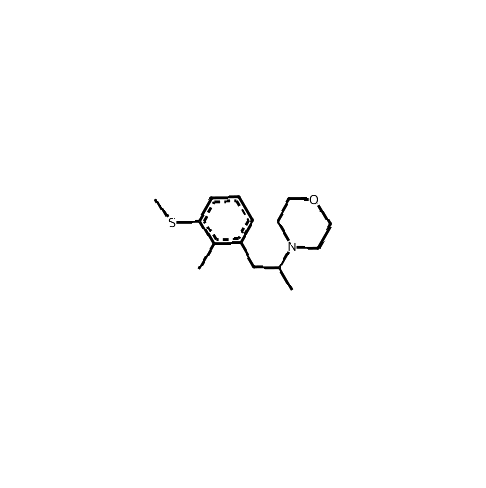 CSc1cccc(CC(C)N2CCOCC2)c1C